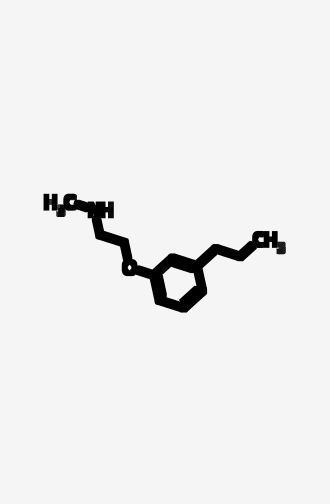 CCCc1cccc(OCCNC)c1